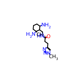 Cn1cc(CCC(=O)NCC2C(N)CCCC2(C)N)nn1